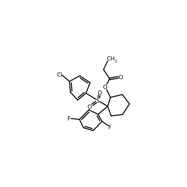 CCC(=O)OC1CCCCC1(c1cc(F)ccc1F)S(=O)(=O)c1ccc(Cl)cc1